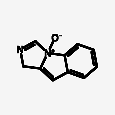 [O-][N+]12C=NCC1=Cc1ccccc12